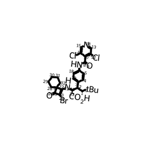 CC(C)(C)CC(c1ccc(NC(=O)c2c(Cl)cncc2Cl)cc1)[C@H](NC1=C(Br)C(=O)C12CCCCC2)C(=O)O